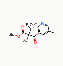 CCOC(=O)CC(C(C)=O)(C(=O)OC(C)(C)C)C(=O)c1cncc(C)c1